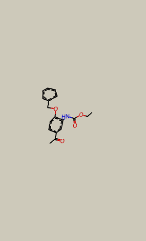 CCOC(=O)Nc1cc(C(C)=O)ccc1OCc1ccccc1